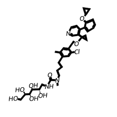 Cc1cc(COC2(c3cnccc3-c3ccccc3OC3CC3)CC2)c(Cl)cc1CCCCN(C)C(=O)NC[C@H](O)[C@@H](O)[C@H](O)[C@H](O)CO